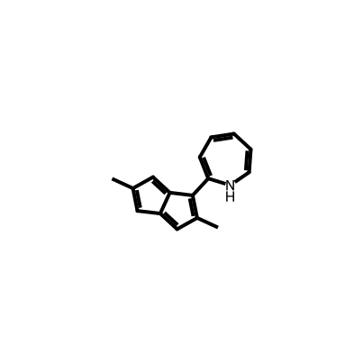 CC1=CC2=CC(C)=C(C3=CC=CC=CN3)C2=C1